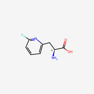 N[C@@H](Cc1cccc(F)n1)C(=O)O